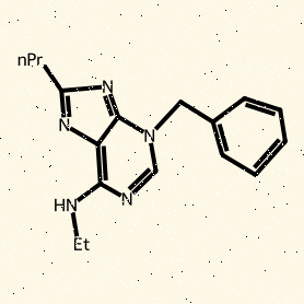 CCCc1nc2c(NCC)ncn(Cc3ccccc3)c-2n1